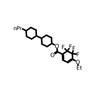 CCCC1CCC(C2CCC(OC(=O)C3=CC=C(OCC)C(F)(F)C3(F)F)CC2)CC1